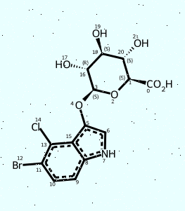 O=C(O)[C@H]1O[C@@H](Oc2c[nH]c3ccc(Br)c(Cl)c23)[C@H](O)[C@@H](O)[C@@H]1O